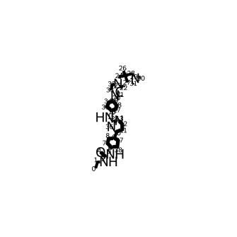 CCNC(=O)Nc1ccc(-c2ccnc(Nc3ccc(N4CCN(CC(C)(C)CN(C)C)CC4)cc3)n2)cc1